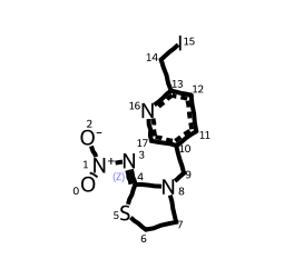 O=[N+]([O-])/N=C1\SCCN1Cc1ccc(CI)nc1